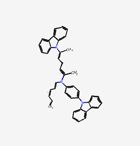 C=C/C=C\C=C\N(/C(C)=C/C/C=C(\C)n1c2ccccc2c2ccccc21)c1ccc(-n2c3ccccc3c3ccccc32)cc1